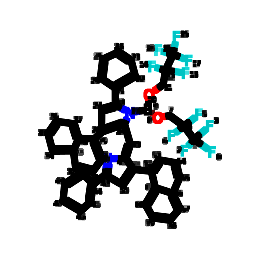 FC(F)(F)C(F)(F)COB(OCC(F)(F)C(F)(F)F)n1c(-c2ccccc2)cc(-c2cccc3ccccc23)c1/C=C1\N=C(c2ccccc2)C=C1c1cccc2ccccc12